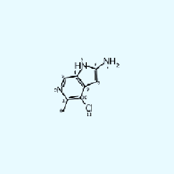 Cc1ncc2[nH]c(N)cc2c1Cl